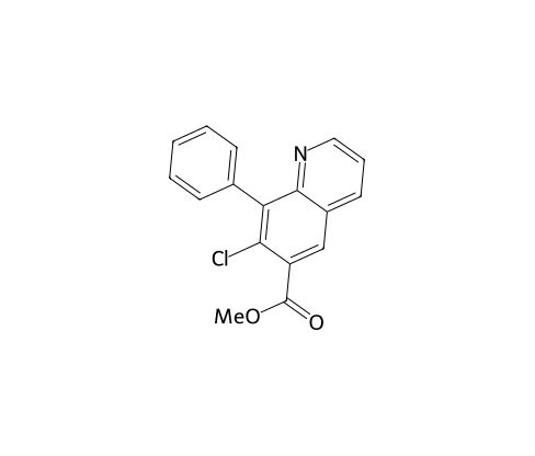 COC(=O)c1cc2cccnc2c(-c2ccccc2)c1Cl